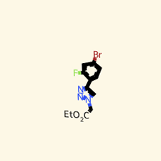 CCOC(=O)Cn1cc(-c2ccc(Br)cc2F)nn1